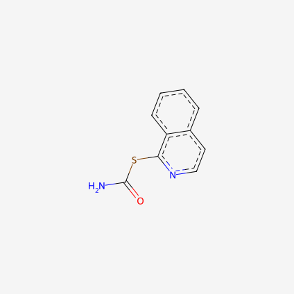 NC(=O)Sc1nccc2ccccc12